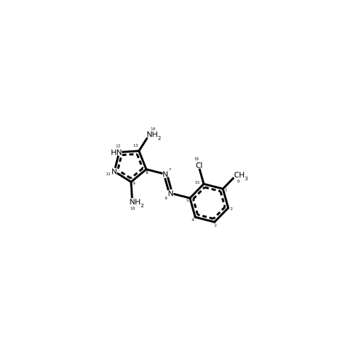 Cc1cccc(N=Nc2c(N)n[nH]c2N)c1Cl